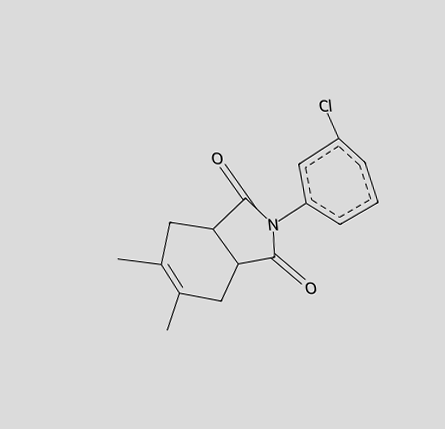 CC1=C(C)CC2C(=O)N(c3cccc(Cl)c3)C(=O)C2C1